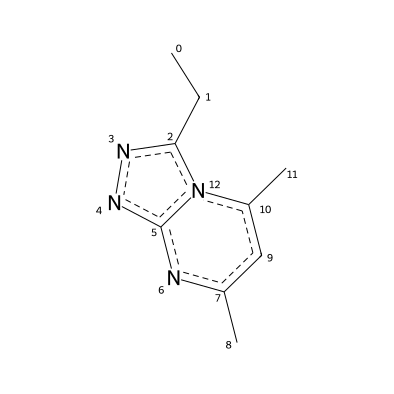 CCc1nnc2nc(C)cc(C)n12